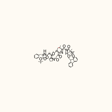 CC[C@H](C)[C@@H]([C@@H](CC(=O)N1CCC[C@H]1[C@H](OC)[C@@H](C)C(=O)N[C@@H](Cc1ccccc1)C(=O)OC(C)(C)C)OC)N(C)[C@H](C(=O)NC(=O)C(C)(C)N(C)C(=O)OCC1c2ccccc2-c2ccccc21)C(C)C